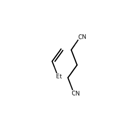 C=CCC.N#CCCCC#N